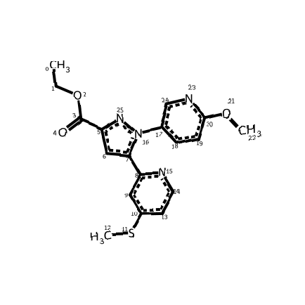 CCOC(=O)c1cc(-c2cc(SC)ccn2)n(-c2ccc(OC)nc2)n1